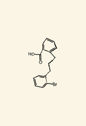 O=C(O)c1ccccc1CCCc1ccccc1Br